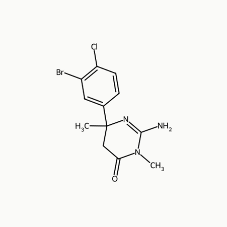 CN1C(=O)CC(C)(c2ccc(Cl)c(Br)c2)N=C1N